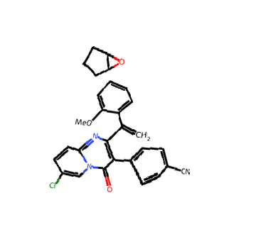 C1CC2OC2C1.C=C(c1ccccc1OC)c1nc2ccc(Cl)cn2c(=O)c1-c1ccc(C#N)cc1